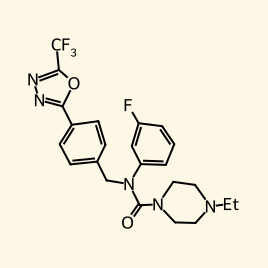 CCN1CCN(C(=O)N(Cc2ccc(-c3nnc(C(F)(F)F)o3)cc2)c2cccc(F)c2)CC1